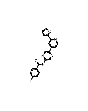 O=C(Nc1cnc(-c2ccnc(-c3ccco3)c2)cn1)c1ccc(F)cc1